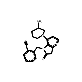 N#Cc1ccccc1CN1C(=O)Cc2nccc(N3CCC[C@@H](N)C3)c21